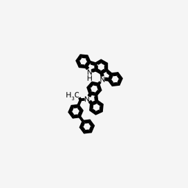 CC(c1cccc(-c2ccccc2)c1)n1c2ccccc2c2cc(-n3c4ccccc4c4ccc5c6ccccc6[nH]c5c43)ccc21